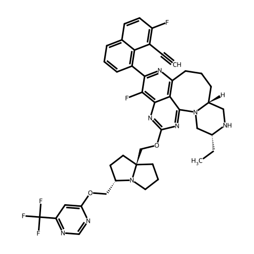 C#Cc1c(F)ccc2cccc(-c3nc4c5c(nc(OC[C@@]67CCCN6[C@H](COc6cc(C(F)(F)F)ncn6)CC7)nc5c3F)N3C[C@@H](CC)NC[C@H]3CCC4)c12